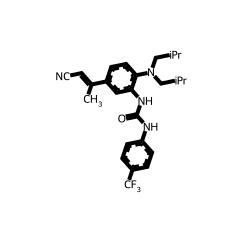 C/C(=C\C#N)c1ccc(N(CC(C)C)CC(C)C)c(NC(=O)Nc2ccc(C(F)(F)F)cc2)c1